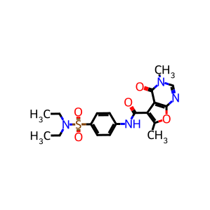 CCN(CC)S(=O)(=O)c1ccc(NC(=O)c2c(C)oc3ncn(C)c(=O)c23)cc1